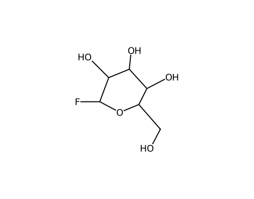 OCC1OC(F)C(O)C(O)C1O